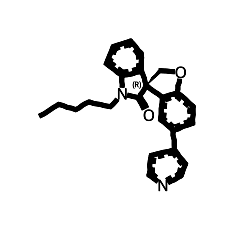 CCCCCN1C(=O)[C@]2(COc3ccc(-c4ccncc4)cc32)c2ccccc21